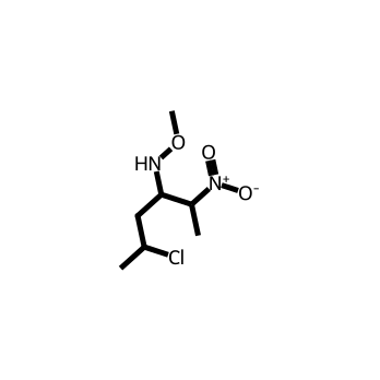 CONC(CC(C)Cl)C(C)[N+](=O)[O-]